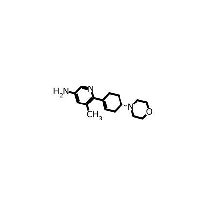 Cc1cc(N)cnc1C1=CC[C@@H](N2CCOCC2)CC1